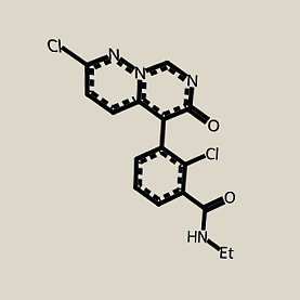 CCNC(=O)c1cccc(-c2c(=O)ncn3nc(Cl)ccc23)c1Cl